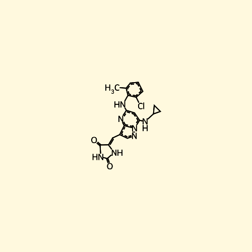 Cc1cccc(Cl)c1Nc1cc(NC2CC2)n2ncc(/C=C3\NC(=O)NC3=O)c2n1